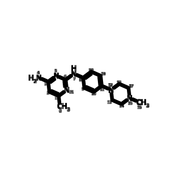 Cc1cc(N)nc(Nc2ccc(N3CCN(C)CC3)cc2)n1